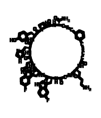 NCCCC[C@@H]1NC(=O)CCSCc2cccc(c2)CSC[C@@H](C(N)=O)NC(=O)[C@@H]2CCN2C(=O)[C@H](Cc2ccc(O)cc2)NC(=O)[C@H](Cc2c[nH]cn2)NC(=O)[C@H](CC(=O)O)NC(=O)[C@H](Cc2c[nH]c3ccc(F)cc23)NC(=O)[C@H](Cc2c[nH]c3ccc(F)cc23)NC(=O)CNC1=O